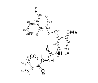 COc1cc(F)c(NC(=O)NOC(=O)c2sccc2C(=O)O)cc1OCc1ccc(F)c2ccncc12